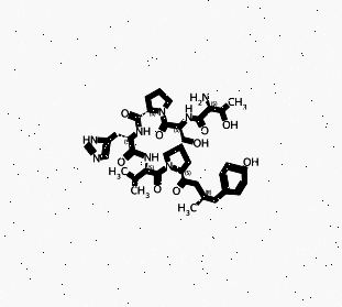 CC(O)[C@H](N)C(=O)N[C@@H](CO)C(=O)N1CCC[C@H]1C(=O)N[C@@H](Cc1cnc[nH]1)C(=O)N[C@H](C(=O)N1CCC[C@H]1C(=O)C[C@H](C)Cc1ccc(O)cc1)C(C)C